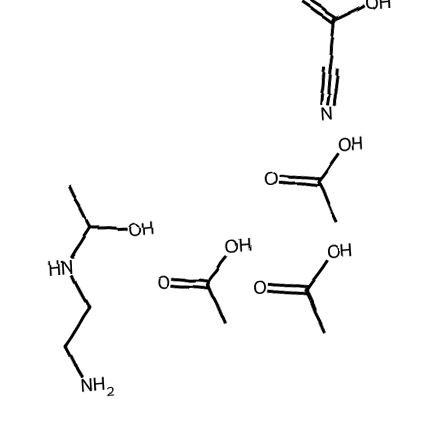 CC(=O)O.CC(=O)O.CC(=O)O.CC(O)NCCN.N#CC(=O)O